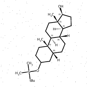 CC(C)(C)[Si](C)(C)OC1CC[C@@]2(C)[C@H](CC[C@@H]3[C@@H]2CC[C@]2(C)[C@@H](O)CC[C@@H]32)C1